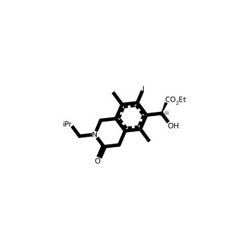 CCOC(=O)[C@@H](O)c1c(C)c2c(c(C)c1I)CN(CC(C)C)C(=O)C2